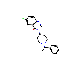 CC(c1ccccc1)N1CCC(n2cnc3ccc(Cl)cc3c2=O)CC1